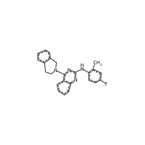 Cc1cc(F)ccc1Nc1nc(N2CCc3ccccc3C2)c2ccccc2n1